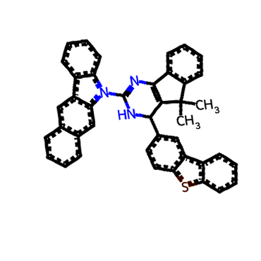 CC1(C)C2=C(N=C(n3c4ccccc4c4cc5ccccc5cc43)NC2c2ccc3sc4ccccc4c3c2)c2ccccc21